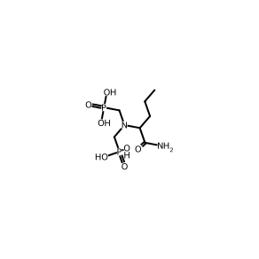 CCCC(C(N)=O)N(CP(=O)(O)O)CP(=O)(O)O